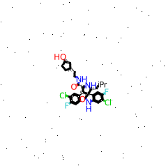 CC(C)C[C@H]1N[C@@H](C(=O)NCC[C@@H]2CC[C@@H](O)C2)[C@H](c2ccc(F)c(Cl)c2)[C@@]12C(=O)Nc1cc(Cl)c(F)cc12